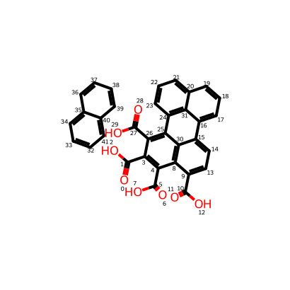 O=C(O)c1c(C(=O)O)c2c(C(=O)O)ccc3c4cccc5cccc(c(c1C(=O)O)c23)c54.c1ccc2ccccc2c1